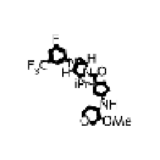 CO[C@@H]1COCC[C@@H]1N[C@@H]1CC[C@@](C(=O)N2C[C@@H]3C[C@H]2CN3c2cc(F)cc(C(F)(F)F)c2)(C(C)C)C1